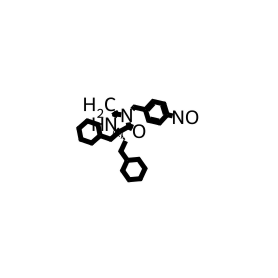 C=C1N[C@](CCC2CCCCC2)(CC2CCCCC2)C(=O)N1Cc1ccc(N=O)cc1